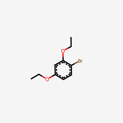 CCOc1[c]c(OCC)c(Br)cc1